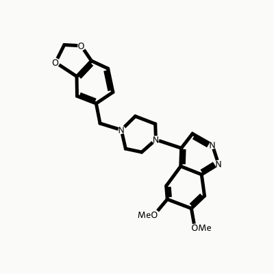 COc1cc2nncc(N3CCN(Cc4ccc5c(c4)OCO5)CC3)c2cc1OC